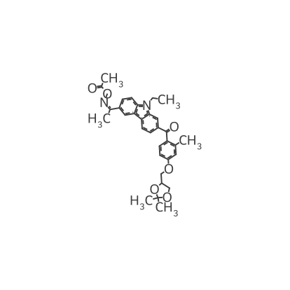 CCn1c2ccc(/C(C)=N\OC(C)=O)cc2c2ccc(C(=O)c3ccc(OCC4COC(C)(C)O4)cc3C)cc21